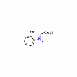 CN(CC(=O)O)c1ccccc1.[NaH]